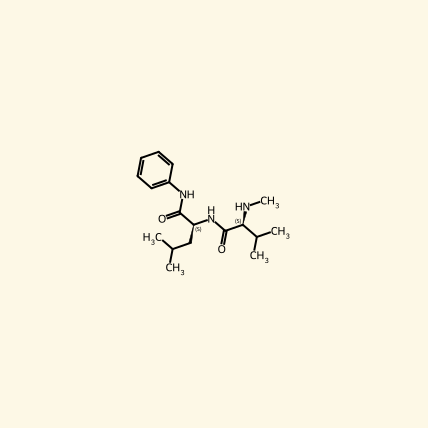 CN[C@H](C(=O)N[C@@H](CC(C)C)C(=O)Nc1ccccc1)C(C)C